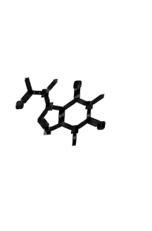 CC(=O)N(C)n1cnc2c1c(=O)n(C)c(=O)n2C